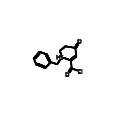 O=C1C=C(C(=O)Cl)[SH](Cc2ccccc2)CC1